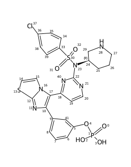 O=P(O)(O)Oc1cccc(-c2nc3sccn3c2-c2ccnc(N([C@@H]3CCCNC3)S(=O)(=O)c3ccc(Cl)cc3)n2)c1